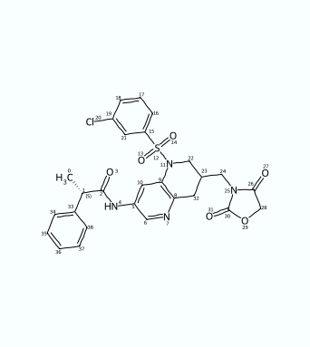 C[C@H](C(=O)Nc1cnc2c(c1)N(S(=O)(=O)c1cccc(Cl)c1)CC(CN1C(=O)COC1=O)C2)c1ccccc1